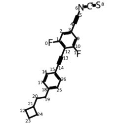 Fc1cc(C#CN=C=S)cc(F)c1C#Cc1ccc(CCC2CCC2)cc1